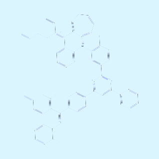 C=C/C=C\C(=C(C)C)/C(=C\C1C=CC=CC1C)c1ccc(-c2cc(-c3ccccc3)nc(-c3ccc(C)c(C(=C)c4ccccc4/C(C4=CCC=CC=C4)=C(/C=C)CCC=C)c3)n2)cc1